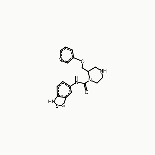 O=C(Nc1ccc2c(c1)SSN2)N1CCNCC1COc1cccnc1